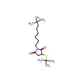 CC(C)(C)CCCCCCN1C(=O)CC(SC(C)(C)C)C1=O